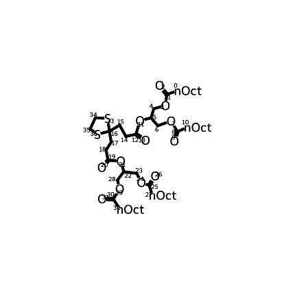 CCCCCCCCC(=O)OCC(COC(=O)CCCCCCCC)OC(=O)CCC1(CCC(=O)OC(COC(=O)CCCCCCCC)COC(=O)CCCCCCCC)SCCS1